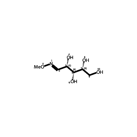 CON=C[C@H](O)[C@@H](O)[C@H](O)CO